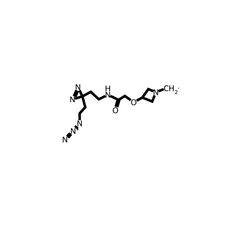 [CH2]N1CC(OCC(=O)NCCC2(CCN=[N+]=[N-])N=N2)C1